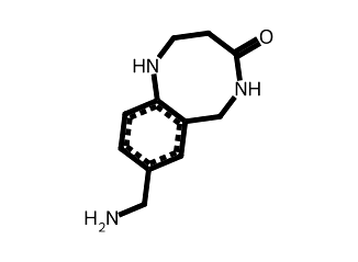 NCc1ccc2c(c1)CNC(=O)CCN2